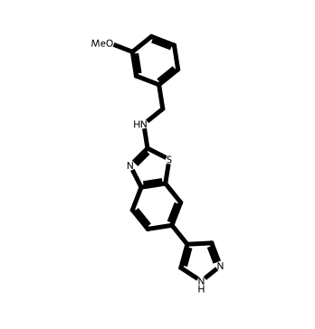 COc1cccc(CNc2nc3ccc(-c4cn[nH]c4)cc3s2)c1